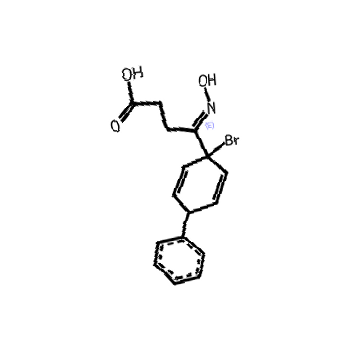 O=C(O)CC/C(=N\O)C1(Br)C=CC(c2ccccc2)C=C1